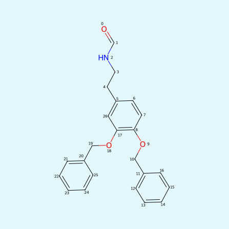 O=CNCCc1ccc(OCc2ccccc2)c(OCc2ccccc2)c1